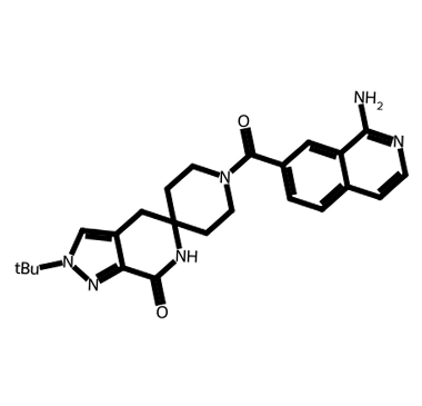 CC(C)(C)n1cc2c(n1)C(=O)NC1(CCN(C(=O)c3ccc4ccnc(N)c4c3)CC1)C2